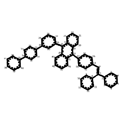 C(=C(c1ccccc1)c1ccccc1)c1ccc(-c2c3ccccc3c(-c3cccc(-c4ccc(-c5ccccc5)cc4)c3)c3ccccc23)cc1